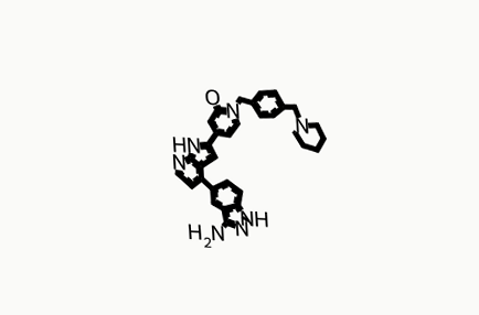 Nc1n[nH]c2ccc(-c3ccnc4[nH]c(-c5ccn(Cc6ccc(CN7CCCCC7)cc6)c(=O)c5)cc34)cc12